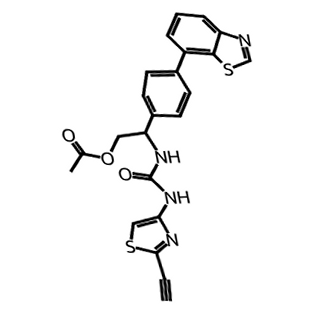 C#Cc1nc(NC(=O)NC(COC(C)=O)c2ccc(-c3cccc4ncsc34)cc2)cs1